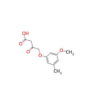 COc1cc(C)cc(OCC(=O)CC(=O)O)c1